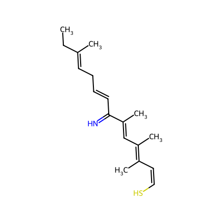 CC/C(C)=C/C/C=C/C(=N)/C(C)=C/C(C)=C(C)/C=C\S